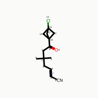 CC(C)(C/C=C/C#N)CC(=O)C12CC(Cl)(C1)C2